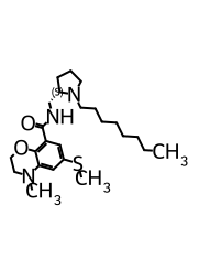 CCCCCCCCN1CCC[C@H]1CNC(=O)c1cc(SC)cc2c1OCCN2C